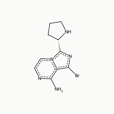 Nc1nccn2c([C@@H]3CCCN3)nc(Br)c12